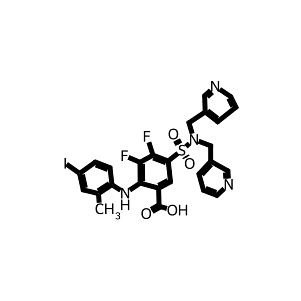 Cc1cc(I)ccc1Nc1c(C(=O)O)cc(S(=O)(=O)N(Cc2cccnc2)Cc2cccnc2)c(F)c1F